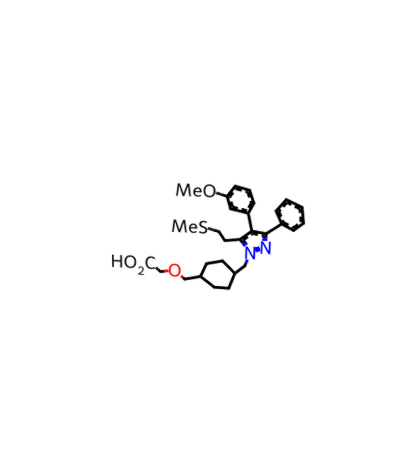 COc1cccc(-c2c(-c3ccccc3)nn(CC3CCC(COCC(=O)O)CC3)c2CCSC)c1